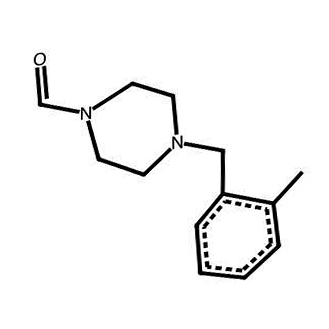 Cc1ccccc1CN1CCN(C=O)CC1